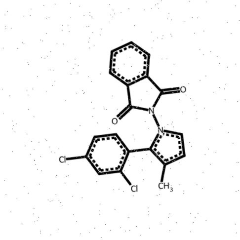 Cc1ccn(N2C(=O)c3ccccc3C2=O)c1-c1ccc(Cl)cc1Cl